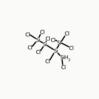 Cl[SiH2][Si](Cl)([Si](Cl)(Cl)Cl)[Si](Cl)(Cl)[Si](Cl)(Cl)Cl